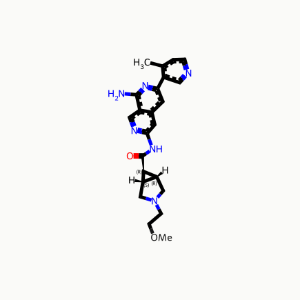 COCCN1C[C@@H]2[C@H](C1)[C@H]2C(=O)Nc1cc2cc(-c3cnccc3C)nc(N)c2cn1